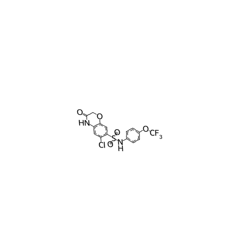 O=C1COc2cc(S(=O)(=O)Nc3ccc(OC(F)(F)F)cc3)c(Cl)cc2N1